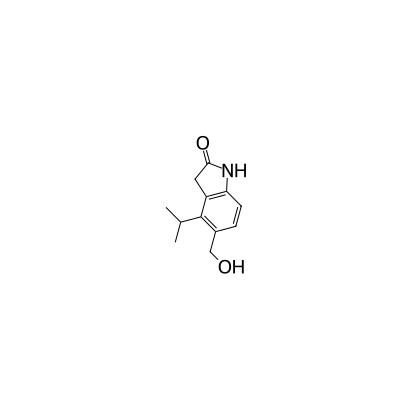 CC(C)c1c(CO)ccc2c1CC(=O)N2